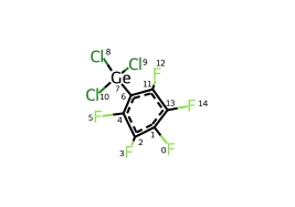 Fc1c(F)c(F)[c]([Ge]([Cl])([Cl])[Cl])c(F)c1F